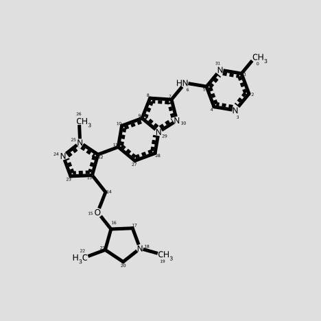 Cc1cncc(Nc2cc3cc(-c4c(COC5CN(C)CC5C)cnn4C)ccn3n2)n1